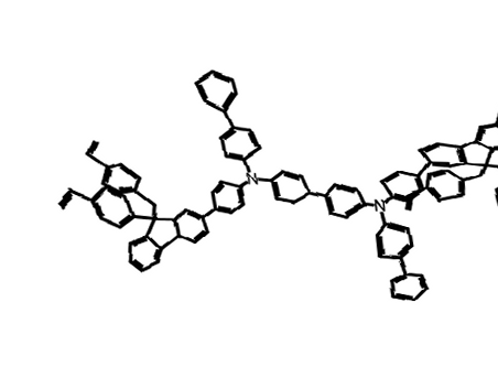 C=Cc1ccc(CC2(Cc3ccc(C=C)cc3)C3=CCC(C)C=C3c3ccc(-c4ccc(N(c5ccc(-c6ccccc6)cc5)c5ccc(C6C=CC(N(c7ccc(C8=CC9C(C=C8)c8ccccc8C9(Cc8ccc(C=C)cc8)c8ccc(C=C)cc8)cc7)c7ccc(-c8ccccc8)cc7)=CC6)cc5)cc4)cc32)cc1